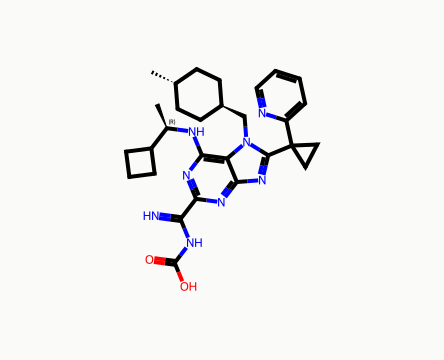 C[C@@H](Nc1nc(C(=N)NC(=O)O)nc2nc(C3(c4ccccn4)CC3)n(C[C@H]3CC[C@H](C)CC3)c12)C1CCC1